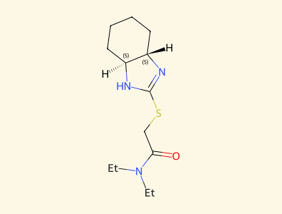 CCN(CC)C(=O)CSC1=N[C@H]2CCCC[C@@H]2N1